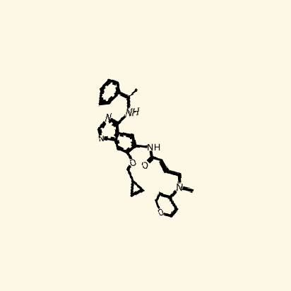 C[C@@H](Nc1ncnc2cc(OCC3CC3)c(NC(=O)C=CCN(C)C3CCOCC3)cc12)c1ccccc1